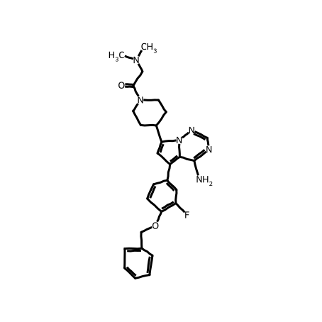 CN(C)CC(=O)N1CCC(c2cc(-c3ccc(OCc4ccccc4)c(F)c3)c3c(N)ncnn23)CC1